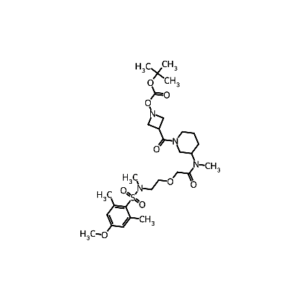 COc1cc(C)c(S(=O)(=O)N(C)CCOCC(=O)N(C)C2CCCN(C(=O)C3CN(OC(=O)OC(C)(C)C)C3)C2)c(C)c1